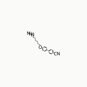 N#Cc1ccc(-c2ccc(OCCCCCCN=[N+]=[N-])cc2)cc1